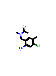 CC(=O)C(C)N(C)Cc1cc(C)c(Cl)cc1N